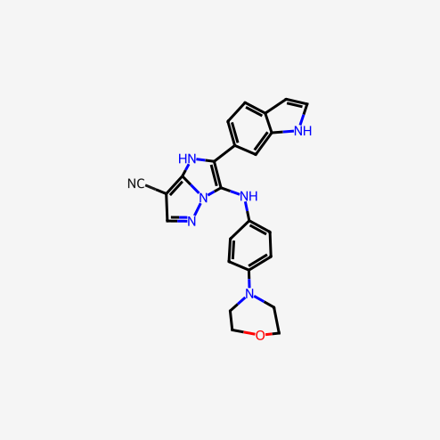 N#Cc1cnn2c(Nc3ccc(N4CCOCC4)cc3)c(-c3ccc4cc[nH]c4c3)[nH]c12